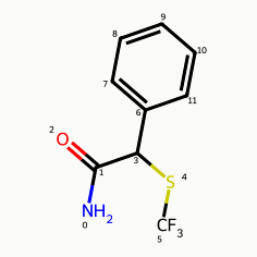 NC(=O)C(SC(F)(F)F)c1ccccc1